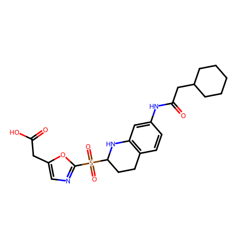 O=C(O)Cc1cnc(S(=O)(=O)C2CCc3ccc(NC(=O)CC4CCCCC4)cc3N2)o1